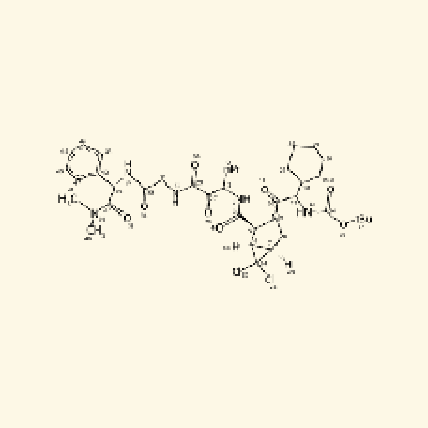 CCCC(NC(=O)[C@@H]1[C@H]2[C@@H](CN1C(=O)C(NC(=O)OC(C)(C)C)C1CCCCC1)C2(Cl)Cl)C(=O)C(=O)NCC(=O)N[C@H](C(=O)N(C)C)c1ccccc1